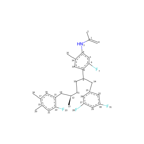 C=C(C)Nc1cc(F)c(C(CC[C@@H](C)Cc2cc(C)c(C)cc2F)Cc2cc(F)cc(F)c2)cc1C